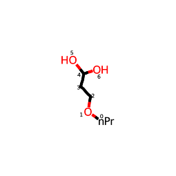 [CH2]CCOCCC(O)O